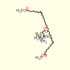 CCOC(=O)CCCCCCC/C=C\CCCCCCCCC(CCCCCCCC/C=C\CCCCCCCC(=O)OCC)OC(=O)CC(C)CC(C)(C)CN(C)C